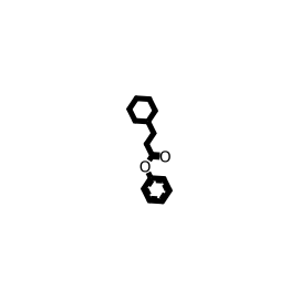 O=C(CCC1CCCCC1)Oc1ccccc1